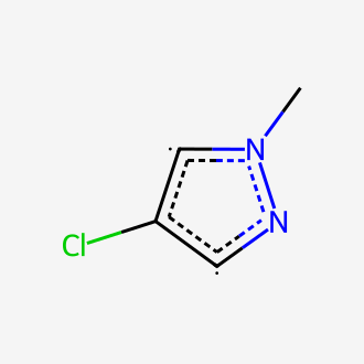 Cn1[c]c(Cl)[c]n1